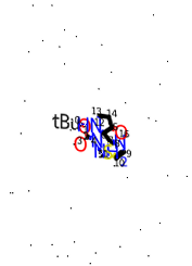 CC(C)(C)OC(=O)N(N)C1(c2nccs2)NCCC1=O